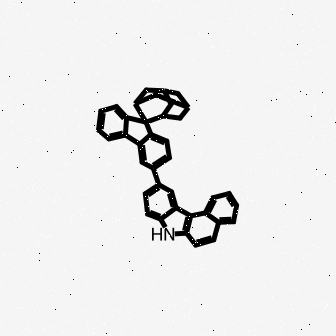 c1ccc2c(c1)-c1cc(-c3ccc4[nH]c5ccc6ccccc6c5c4c3)ccc1C21C2CC3CC(C2)CC1C3